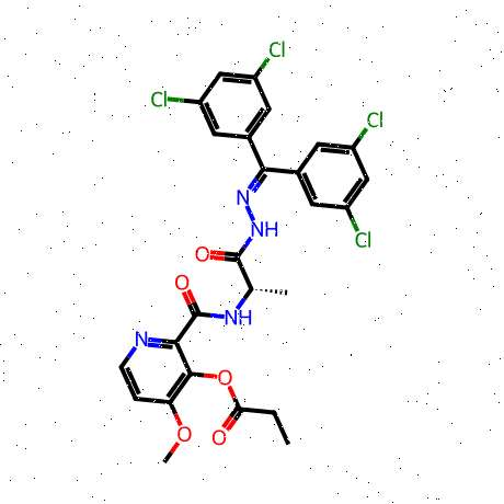 CCC(=O)Oc1c(OC)ccnc1C(=O)N[C@@H](C)C(=O)NN=C(c1cc(Cl)cc(Cl)c1)c1cc(Cl)cc(Cl)c1